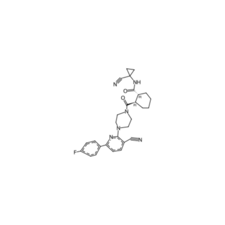 N#Cc1ccc(-c2ccc(F)cc2)nc1N1CCN(C(=O)[C@@H]2CCCC[C@H]2C(=O)NC2(C#N)CC2)CC1